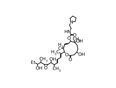 CCC(O)C(C)C1OC1C(O)C(C)/C=C/C=C(\C)C1OC(=O)CC(O)CCC(C)(O)C(OC(=O)NCCN2CCCC2)/C=C/C1C